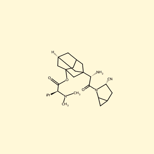 CC(C)[C@@H](C(=O)OC12CC3C[C@H](C1)CC([C@H](N)C(=O)N1C4CC4C[C@H]1C#N)(C3)C2)N(C)C